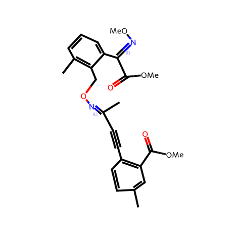 CO/N=C(/C(=O)OC)c1cccc(C)c1CO/N=C(\C)C#Cc1ccc(C)cc1C(=O)OC